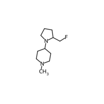 CN1CCC(N2CCCC2CF)CC1